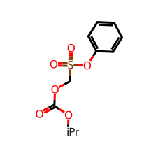 CC(C)OC(=O)OCS(=O)(=O)Oc1ccccc1